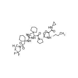 CCCC[C@H](NC(=O)[C@@H]1CCCN1C(=O)[C@@H](NC(=O)NC1(CS(=O)(=O)N(C)CC(F)(F)F)CCCCC1)C1(C)CCCCC1)C(=O)C(=O)NC1CC1